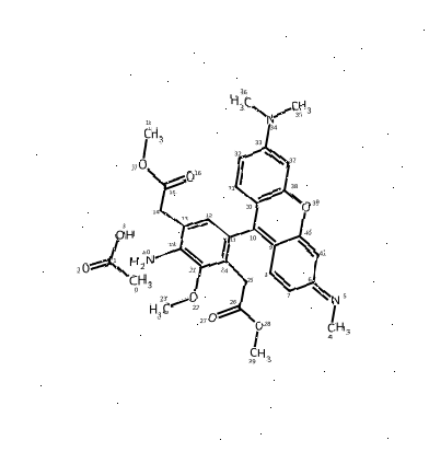 CC(=O)O.CN=c1ccc2c(-c3cc(CC(=O)OC)c(N)c(OC)c3CC(=O)OC)c3ccc(N(C)C)cc3oc-2c1